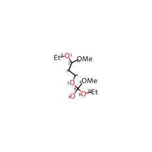 CCOC(CCOC([O])(OC)OCC)OC